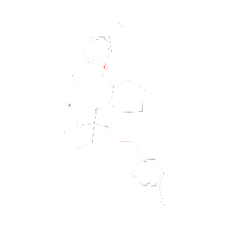 O=CCC1CNCCN1C(=O)C1(C(=O)OCc2ccc([N+](=O)[O-])cc2)CCCN1C(=O)OCc1ccc([N+](=O)[O-])cc1